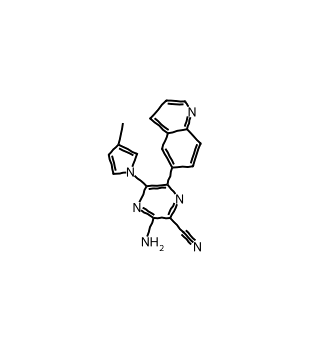 Cc1ccn(-c2nc(N)c(C#N)nc2-c2ccc3ncccc3c2)c1